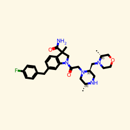 C[C@@H]1CN(CC(=O)N2CC(C)(C(N)=O)c3ccc(Cc4ccc(F)cc4)cc32)[C@@H](CN2CCOC[C@H]2C)CN1